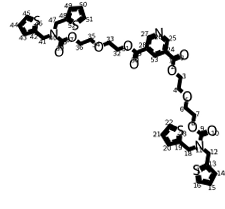 O=C(OCCOCCOC(=O)N(Cc1cccs1)Cc1cccs1)c1cncc(C(=O)OCCOCCOC(=O)N(Cc2cccs2)Cc2cccs2)c1